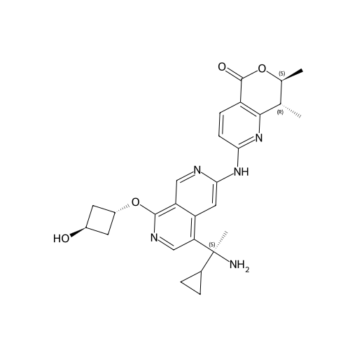 C[C@@H]1OC(=O)c2ccc(Nc3cc4c([C@@](C)(N)C5CC5)cnc(O[C@H]5C[C@H](O)C5)c4cn3)nc2[C@H]1C